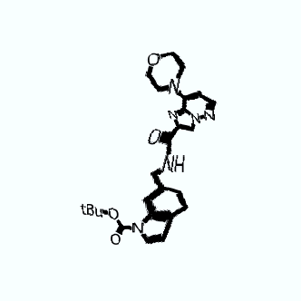 CC(C)(C)OC(=O)n1ccc2ccc(CNC(=O)c3cn4nccc(N5CCOCC5)c4n3)cc21